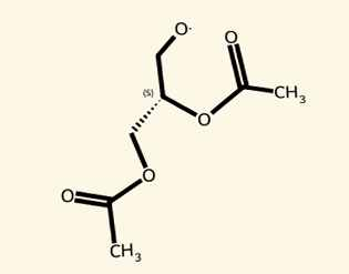 CC(=O)OC[C@H](C[O])OC(C)=O